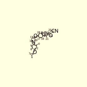 Cc1cc(OC2CC2)ccc1N1CC[C@@H](Oc2ccc([C@H](C)NC(=O)CC#N)cc2)C1